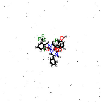 COc1cccc(-c2c(C)n(Cc3c(F)cccc3C(F)(F)F)c(=O)n(CC(c3ccccc3)N(C)C(=O)OC(C)(C)C)c2=O)c1F